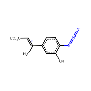 CCOC(=O)/C=C(\C)c1ccc(N=[N+]=[N-])c(C#N)c1